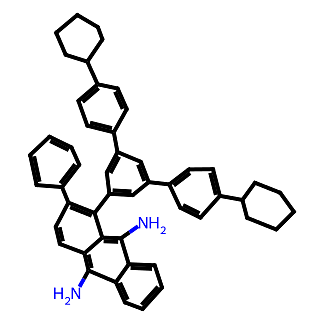 Nc1c2ccccc2c(N)c2c(-c3cc(-c4ccc(C5CCCCC5)cc4)cc(-c4ccc(C5CCCCC5)cc4)c3)c(-c3ccccc3)ccc12